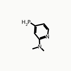 CN(C)c1cc(P)ccn1